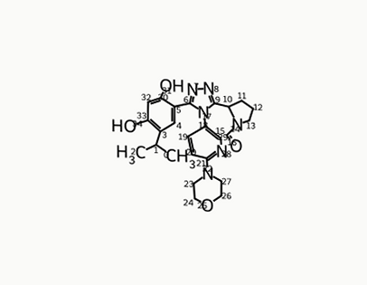 CC(C)c1cc(-c2nnc(C3CCCN3C=O)n2-c2ccc(N3CCOCC3)nc2)c(O)cc1O